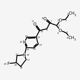 CCOC(OCC)C(=O)CC(=O)c1ccc(N2CCC(F)C2)nc1